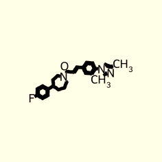 Cc1cn(-c2ccc(/C=C/C(=O)N3CCCC(c4ccc(F)cc4)CC3)cc2C)cn1